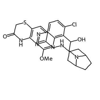 COc1cnc2ccc(Cl)c(C(O)CN3C4CCC3CC(NCc3ccc5c(n3)NC(=O)CS5)C4)c2n1